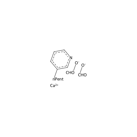 CCCCCc1cccnc1.O=C[O-].O=C[O-].[Ca+2]